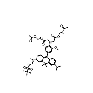 COc1cc(C2=C3C=CC(=[N+](C)COS(=O)(=O)C(F)(F)F)C=C3C(C)(C)c3cc(N(C)C)ccc32)ccc1N(CC(=O)OCOC(C)=O)CC(=O)OCOC(C)=O